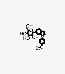 CCOc1ccc(-n2ccc3ccc([C@@H]4O[C@H](CO)[C@@H](O)[C@H](O)[C@H]4O)cc32)cc1